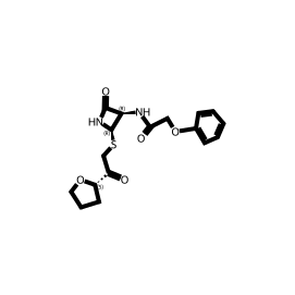 O=C(COc1ccccc1)N[C@@H]1C(=O)N[C@@H]1SCC(=O)[C@@H]1CCCO1